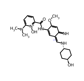 COC1=CC(=N)/C(=C\N[C@H]2CC[C@H](O)CC2)C=C1NC(=O)c1cccc(N(C)C)[n+]1O